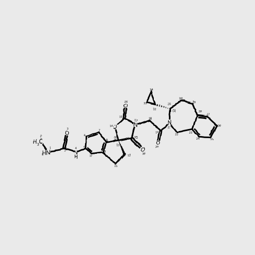 CNC(=O)Nc1ccc2c(c1)CC[C@]21OC(=O)N(CC(=O)N2Cc3ccccc3CC[C@H]2C2CC2)C1=O